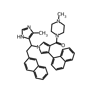 Cc1nc[nH]c1C(Cc1ccc2ccccc2c1)n1cc(C(=O)N2CCN(C)CC2)c(-c2cccc3ccccc23)c1